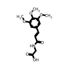 COc1cc(C=CC(=O)NCC(=O)O)cc(OC)c1OC